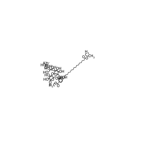 CCCCCCCCCCCCCCCC(=O)OC(C)C.COC(=O)c1ccc(O)cc1.O=P([O-])(O)O.OCC(O)CO.OC[C@H]1O[C@@H](O[C@H]2[C@H](O)[C@@H](O)[C@H](O)O[C@@H]2CO)[C@H](O)[C@@H](O)[C@H]1O.[K+]